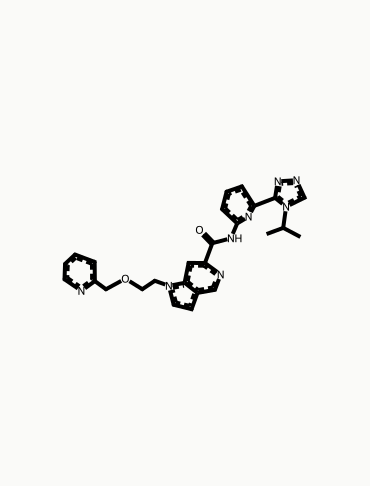 CC(C)n1cnnc1-c1cccc(NC(=O)c2cc3c(ccn3CCOCc3ccccn3)cn2)n1